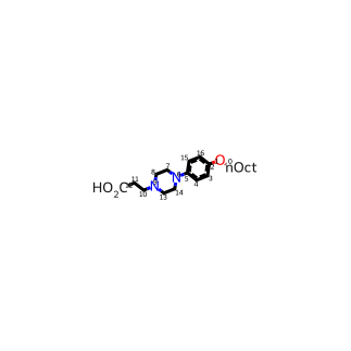 CCCCCCCCOc1ccc(N2CCN(CCC(=O)O)CC2)cc1